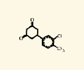 O=C1CC(=O)CC(c2ccc(C(F)(F)F)c(Cl)c2)C1